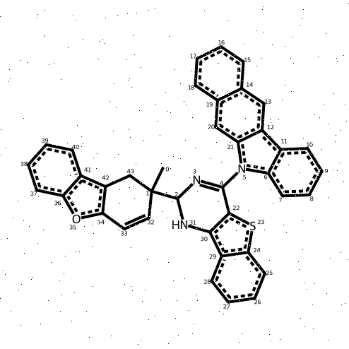 CC1(C2N=C(n3c4ccccc4c4cc5ccccc5cc43)c3sc4ccccc4c3N2)C=Cc2oc3ccccc3c2C1